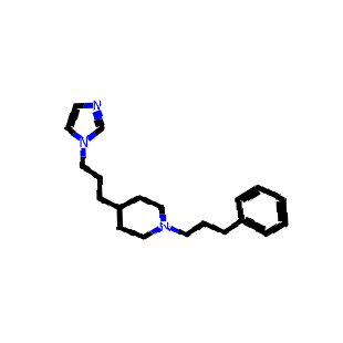 c1ccc(CCCN2CCC(CCCn3ccnc3)CC2)cc1